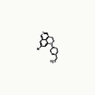 NCC1CCC(N2CCc3cncc4cc(Br)cc2c34)CC1